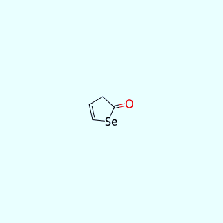 O=C1CC=C[Se]1